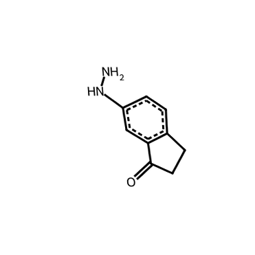 NNc1ccc2c(c1)C(=O)CC2